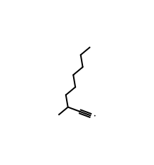 [C]#CC(C)CCCCCC